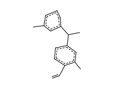 C=Cc1ccc(C(C)c2cccc(C)c2)cc1C